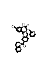 O=C1Nc2cc(Cl)ccc2C(=O)N(CC2CCC(C(=O)N3CCCc4cccnc43)CC2)[C@@H]1Cc1ccccn1